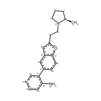 C[C@@H]1CCCN1CCc1cc2cc(-c3cnncc3N)ccc2o1